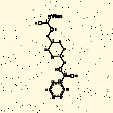 CCCCCCCCCC(=O)OCC1CCC(COC(=O)c2ccccc2)CC1